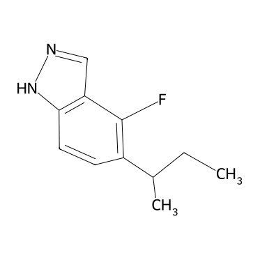 CCC(C)c1ccc2[nH]ncc2c1F